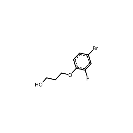 OCCCOc1ccc(Br)cc1F